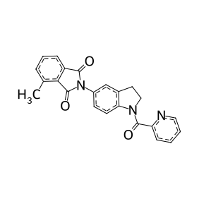 Cc1cccc2c1C(=O)N(c1ccc3c(c1)CCN3C(=O)c1ccccn1)C2=O